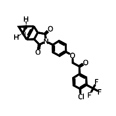 O=C(COc1ccc(N2C(=O)C3C(C2=O)C2C=CC3[C@H]3C[C@@H]23)cc1)c1ccc(Cl)c(C(F)(F)F)c1